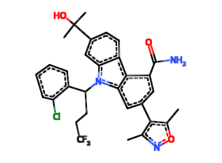 Cc1noc(C)c1-c1cc(C(N)=O)c2c3ccc(C(C)(C)O)cc3n(C(CCC(F)(F)F)c3ccccc3Cl)c2c1